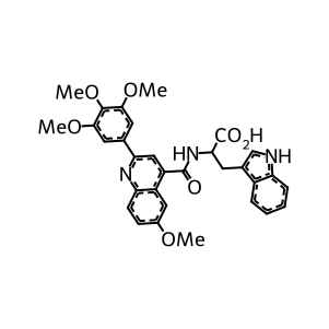 COc1ccc2nc(-c3cc(OC)c(OC)c(OC)c3)cc(C(=O)NC(Cc3c[nH]c4ccccc34)C(=O)O)c2c1